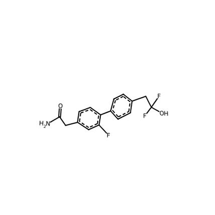 NC(=O)Cc1ccc(-c2ccc(CC(O)(F)F)cc2)c(F)c1